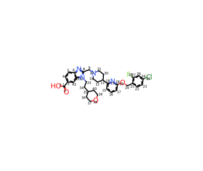 O=C(O)c1ccc2nc(CN3CCC(c4cccc(OCc5ccc(Cl)cc5F)n4)CC3)n(CCC3CCOCC3)c2c1